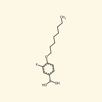 CCCCCCCCOc1ccc(B(O)O)cc1F